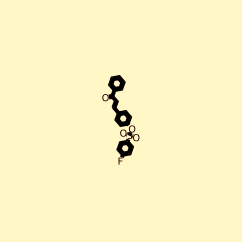 O=C(C=Cc1ccc(OS(=O)(=O)c2ccc(F)cc2)cc1)c1ccccc1